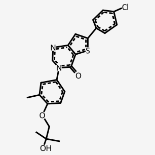 Cc1cc(-n2cnc3cc(-c4ccc(Cl)cc4)sc3c2=O)ccc1OCC(C)(C)O